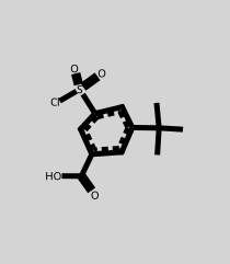 CC(C)(C)c1cc(C(=O)O)cc(S(=O)(=O)Cl)c1